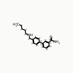 CCCCCNCc1ccc(-c2cccc(C(N)=O)c2)cc1